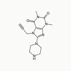 C#CCn1c(N2CCNCC2)nc2c1c(=O)n(C)c(=O)n2C